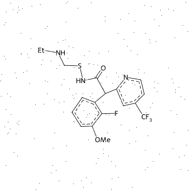 CCNCSNC(=O)C(c1cc(C(F)(F)F)ccn1)c1cccc(OC)c1F